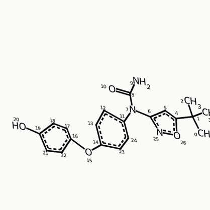 CC(C)(C)c1cc(N(C(N)=O)c2ccc(Oc3ccc(O)cc3)cc2)no1